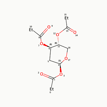 CCC(=O)O[C@H]1C[C@@H](OC(=O)CC)[C@H](OC(=O)CC)CO1